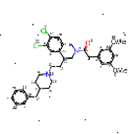 COc1cc(CC(=O)N(C)CC(CCN2CCC(Cc3ccccc3)CC2)c2ccc(Cl)c(Cl)c2)cc(OC)c1